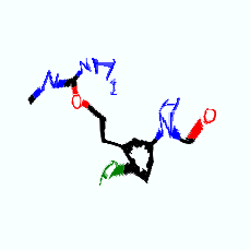 C/N=C(/N)OCCc1cc(NC=O)ccc1F